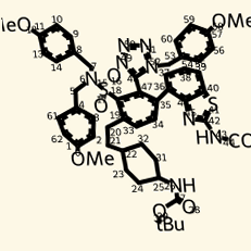 COc1ccc(CN(Cc2ccc(OC)cc2)S(=O)(=O)c2c(CCC3CCC(NC(=O)OC(C)(C)C)CC3)ccc(-c3cccc4sc(NC(=O)O)nc34)c2-c2nnnn2Cc2ccc(OC)cc2)cc1